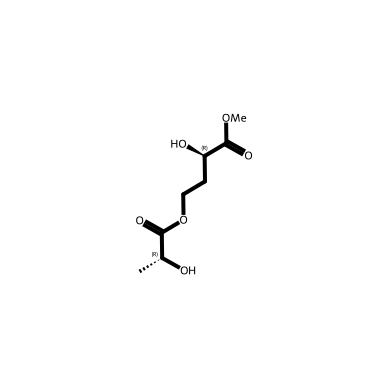 COC(=O)[C@H](O)CCOC(=O)[C@@H](C)O